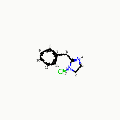 ClN1CCN=C1Cc1ccccc1